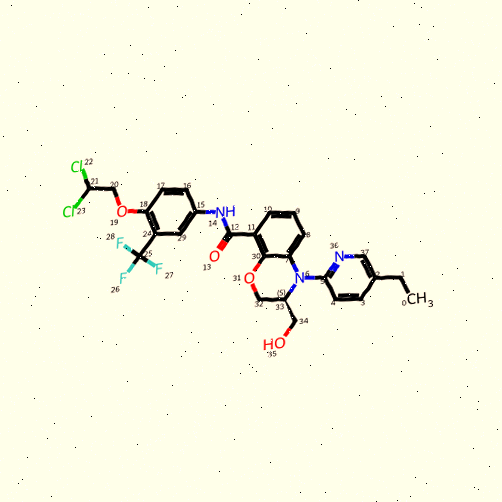 CCc1ccc(N2c3cccc(C(=O)Nc4ccc(OCC(Cl)Cl)c(C(F)(F)F)c4)c3OC[C@@H]2CO)nc1